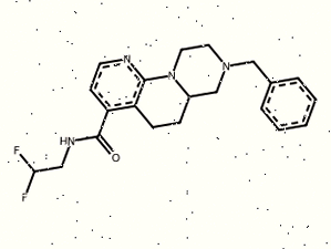 O=C(NCC(F)F)c1ccnc2c1CCC1CN(Cc3ccccc3)CCN21